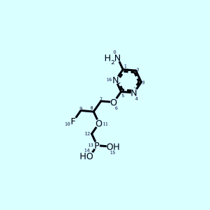 Nc1ccnc(OCC(CF)OCP(O)O)n1